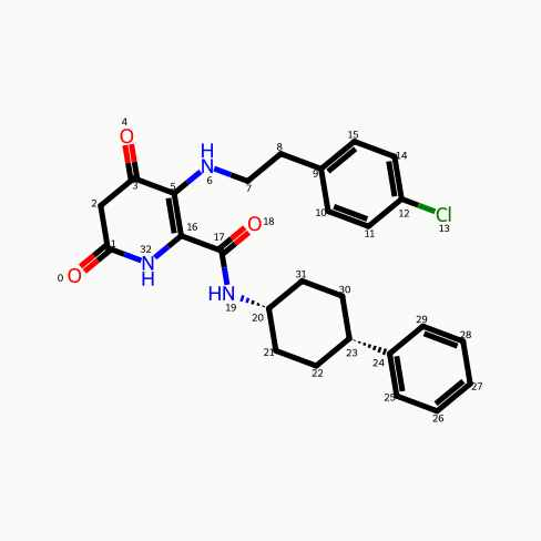 O=C1CC(=O)C(NCCc2ccc(Cl)cc2)=C(C(=O)N[C@H]2CC[C@@H](c3ccccc3)CC2)N1